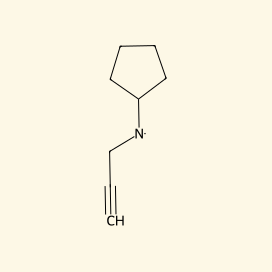 C#CC[N]C1CCCC1